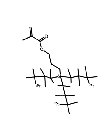 C=C(C)C(=O)OCCC[Si](C(C)(C)C(C)(C)C(C)(C)C(C)C)(C(C)(C)C(C)(C)C(C)(C)C(C)C)C(C)(C)C(C)(C)C(C)(C)C(C)C